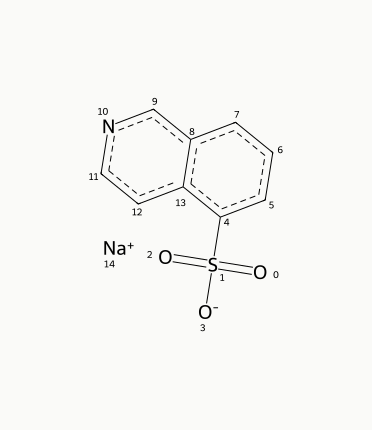 O=S(=O)([O-])c1cccc2cnccc12.[Na+]